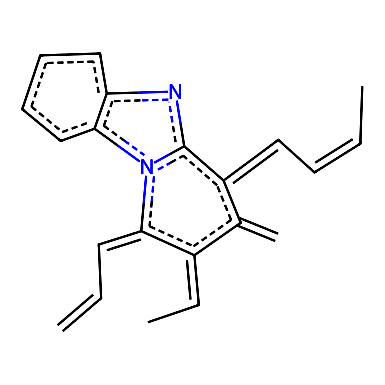 C=C/C=c1\c(=C/C)c(=C)/c(=C\C=C/C)c2nc3ccccc3n12